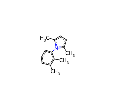 Cc1cccc(-n2c(C)ccc2C)c1C